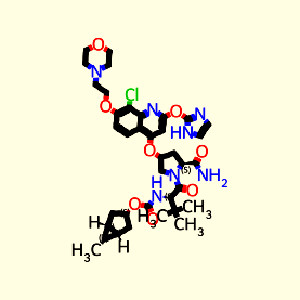 C[C@H]1[C@H]2C[C@@H](OC(=O)N[C@H](C(=O)N3CC(Oc4cc(Oc5ncc[nH]5)nc5c(Cl)c(OCCN6CCOCC6)ccc45)C[C@H]3C(N)=O)C(C)(C)C)C[C@@H]12